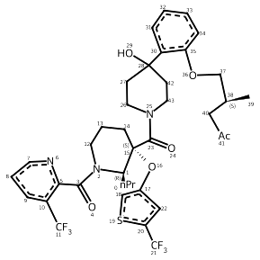 CCC[C@H]1N(C(=O)c2ncccc2C(F)(F)F)CCC[C@@]1(Oc1csc(C(F)(F)F)c1)C(=O)N1CCC(O)(c2ccccc2OC[C@@H](C)CC(C)=O)CC1